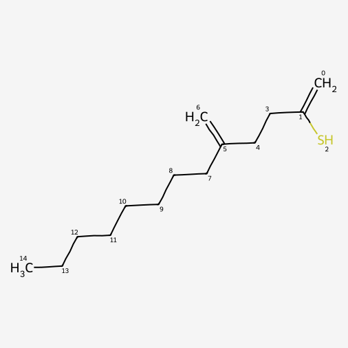 C=C(S)CCC(=C)CCCCCCCC